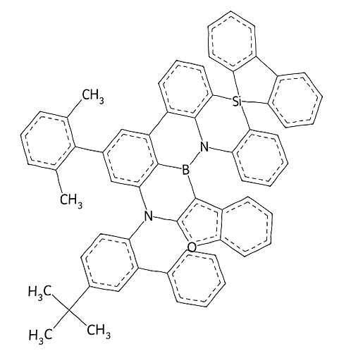 Cc1cccc(C)c1-c1cc2c3c(c1)N(c1ccc(C(C)(C)C)cc1-c1ccccc1)c1oc4ccccc4c1B3N1c3ccccc3[Si]3(c4ccccc4-c4ccccc43)c3cccc-2c31